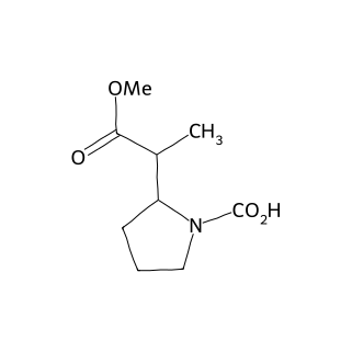 COC(=O)C(C)C1CCCN1C(=O)O